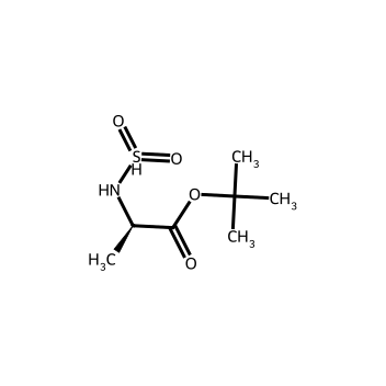 C[C@@H](N[SH](=O)=O)C(=O)OC(C)(C)C